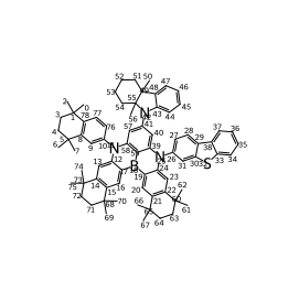 CC1(C)CCC(C)(C)c2cc(N3c4cc5c(cc4B4c6cc7c(cc6N(c6ccc8c(c6)sc6ccccc68)c6cc(N8c9ccccc9C9(C)CCCCC89C)cc3c64)C(C)(C)CCC7(C)C)C(C)(C)CCC5(C)C)ccc21